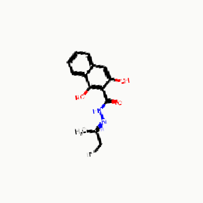 C/C(CC(C)C)=N\NC(=O)c1c(O)cc2ccccc2c1O